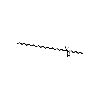 CCCCCCCCCCCCCCCCCCCCCC(=O)NCCCCCC